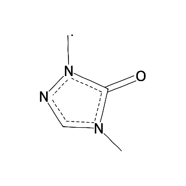 [CH2]n1ncn(C)c1=O